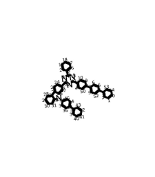 c1ccc(-c2ccc(-c3ccc(-c4nc(-c5ccccc5)nc(-c5ccc6c7ccccc7n(-c7ccc(-c8ccccc8)cc7)c6c5)n4)cc3)cc2)cc1